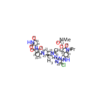 CNC(=O)COc1cc2cc(Nc3nc(N4C[C@@H](C)N(CC5CCN(c6cccc7c6C(=O)N([C@@H]6CCC(=O)NC6=O)C7=O)CC5)[C@@H](C)C4)ncc3Cl)ccc2n(C(C)C)c1=O